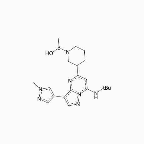 CB(O)N1CCCC(c2cc(NC(C)(C)C)n3ncc(-c4cnn(C)c4)c3n2)C1